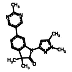 Cc1ncc(-c2ccc3c(c2)N(c2cc(C)n(C)n2)C(=O)C3(C)C)cn1